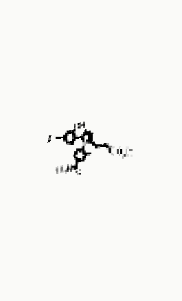 CCOC(=O)CCc1ccc(-c2ccc(Cl)cc2O)n1-c1ccc(C(N)=O)cc1C